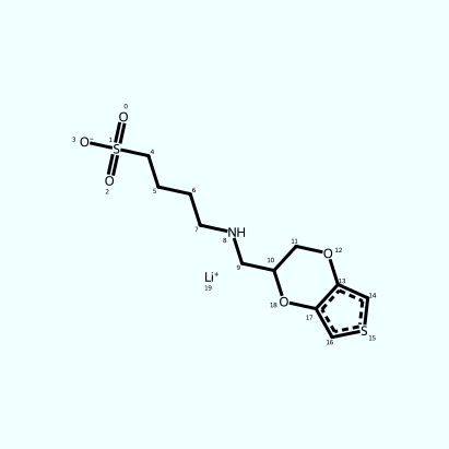 O=S(=O)([O-])CCCCNCC1COc2cscc2O1.[Li+]